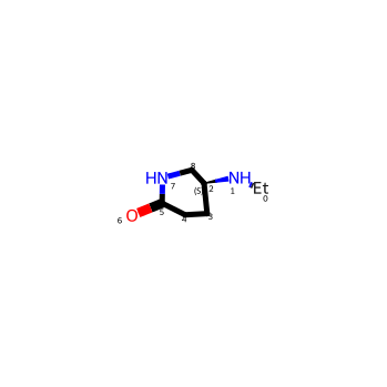 CCN[C@H]1CCC(=O)NC1